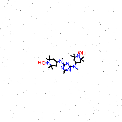 Cc1nc(N(C)C2CC(C)(C)N(O)C(C)(C)C2)nc(N(C)C2CC(C)(C)N(O)C(C)(C)C2)n1